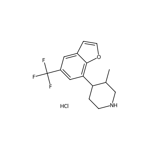 CC1CNCCC1c1cc(C(F)(F)F)cc2ccoc12.Cl